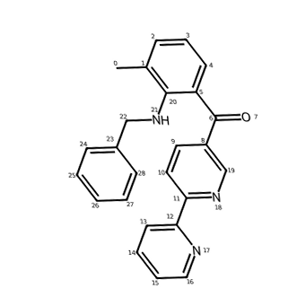 Cc1cccc(C(=O)c2ccc(-c3ccccn3)nc2)c1NCc1ccccc1